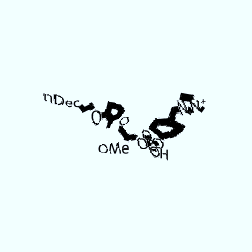 CCCCCCCCCCCCOc1cccc(OCC(COP(=O)(O)Oc2ccc(Cn3cc[n+](C)c3)cc2)OC)c1C